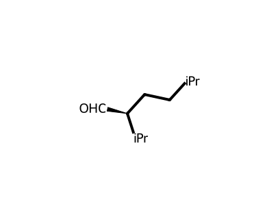 CC(C)CC[C@H](C=O)C(C)C